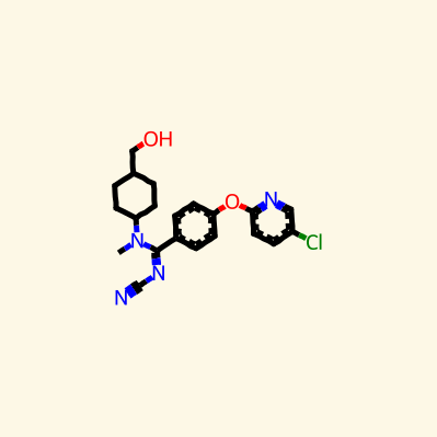 CN(C(=NC#N)c1ccc(Oc2ccc(Cl)cn2)cc1)C1CCC(CO)CC1